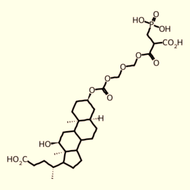 C[C@H](CCC(=O)O)C1CCC2C3CC[C@@H]4C[C@H](OC(=O)OCOCOC(=O)C(CP(=O)(O)O)C(=O)O)CC[C@]4(C)C3C[C@H](O)[C@@]21C